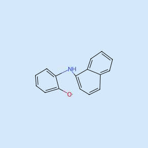 [O]c1ccccc1Nc1cccc2ccccc12